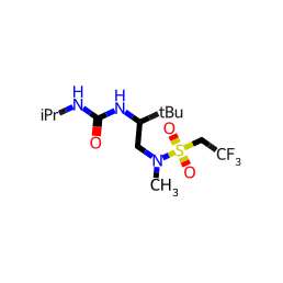 CC(C)NC(=O)NC(CN(C)S(=O)(=O)CC(F)(F)F)C(C)(C)C